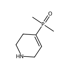 CP(C)(=O)C1=CCNCC1